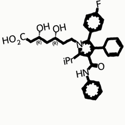 CC(C)c1c(C(=O)Nc2ccccc2)c(C2C=CC=CC2)c(-c2ccc(F)cc2)n1CC[C@@H](O)C[C@@H](O)CC(=O)O